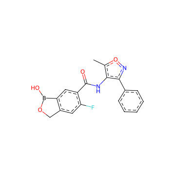 Cc1onc(-c2ccccc2)c1NC(=O)c1cc2c(cc1F)COB2O